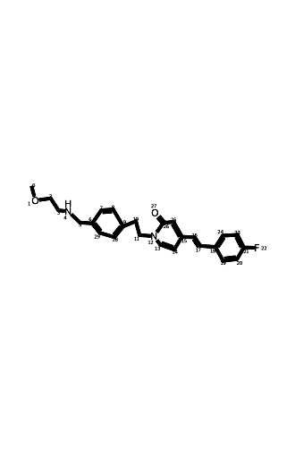 COCCNCc1ccc(CCn2ccc(C=Cc3ccc(F)cc3)cc2=O)cc1